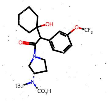 CC(C)(C)N(C(=O)O)[C@H]1CCN(C(=O)C(c2cccc(OC(F)(F)F)c2)C2(O)CCCCC2)C1